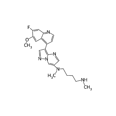 CNCCCCN(C)c1cnc2c(-c3ccnc4cc(F)c(OC)cc34)cnn2c1